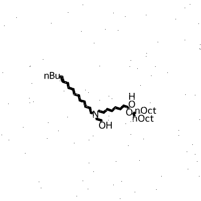 CCCC/C=C/CCCCCCCCCCN(CCO)CCCCCCCC(O)OC(CCCCCCCC)CCCCCCCC